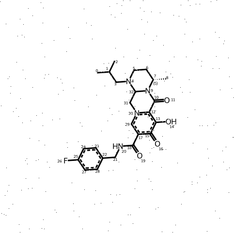 CC(C)CN1CC[C@H](C)N2C(=O)c3c(O)c(=O)c(C(=O)NCc4ccc(F)cc4)cn3CC12